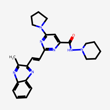 Cc1nc2ccccc2nc1C=Cc1nc(C(=O)NN2CCCCC2)cc(N2CCCC2)n1